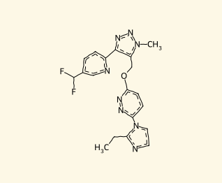 CCc1nccn1-c1ccc(OCc2c(-c3ccc(C(F)F)cn3)nnn2C)nn1